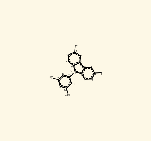 Cc1ccc2c(c1)c1cc(C)ccc1n2-c1cc(F)cc(Br)c1